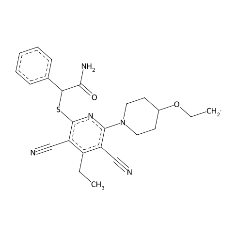 [CH2]COC1CCN(c2nc(SC(C(N)=O)c3ccccc3)c(C#N)c(CC)c2C#N)CC1